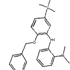 CN(C)c1ccccc1Pc1cc([Si](C)(C)C)ccc1OCc1ccccc1